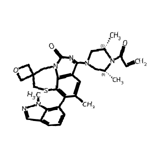 C=CC(=O)N1[C@H](C)CN(c2nc(=O)n3c4c(c(-c5cccc6cnn(C)c56)c(C)cc24)SCC2(COC2)C3)C[C@@H]1C